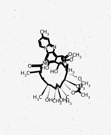 COc1c(C)c(O)c2c(O)c3c4c(nc5cc(C)ccn54)c2c1C(=O)O/C=C/[C@H](OC)[C@@H](C)[C@@H](OC(C)=O)[C@H](C)[C@H](O)[C@H](C)[C@@H](O)[C@@H](C)/C=C/C=C(/C)C(=O)N3